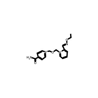 CCO/N=C/c1cccc[n+]1COC[n+]1ccc(C(N)=O)cc1